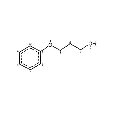 O[CH]CCOc1ccccc1